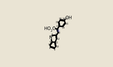 O=C(O)/C(=C\c1cnc2ccccc2c1)c1ccc(O)cc1